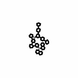 C1=CC(c2ccc(-c3cc(-c4ccc(-c5ccccc5)cc4)cc(-n4c5ccccc5c5cc(-c6ccccc6-c6cccc(N(c7cccc8ccccc78)c7cccc8ccccc78)c6)ccc54)c3)cc2)=CCC1